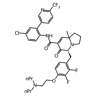 CCCN(CCC)CCOc1ccc(C[C@H]2C(=O)C(C(=O)Nc3ccc(Cl)cc3-c3ccc(C(F)(F)F)nc3)=CC3(C)CCCN23)c(F)c1F